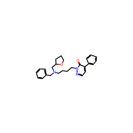 O=c1c(-c2ccccc2)ccnn1CCCCN(Cc1ccccc1)CC1CCCO1